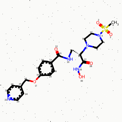 CS(=O)(=O)N1CCN([C@@H](CNC(=O)c2ccc(OCc3ccncc3)cc2)C(=O)NO)CC1